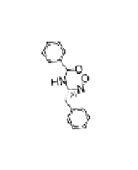 O=N[C@H](Cc1ccccc1)NC(=O)c1ccccc1